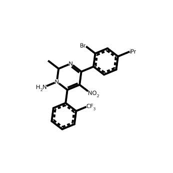 CC(C)c1ccc(C2=NC(C)N(N)C(c3ccccc3C(F)(F)F)=C2[N+](=O)[O-])c(Br)c1